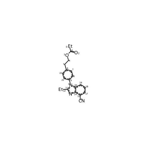 CCC(=O)OCCc1ccc(-n2c(CC)nc3c(C#N)cccc32)cc1